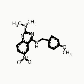 COc1ccc(CNc2nc(N(C)C)nc3ccc([N+](=O)[O-])cc23)cc1